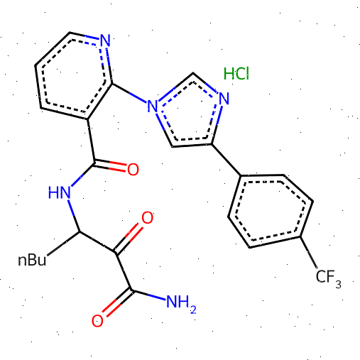 CCCCC(NC(=O)c1cccnc1-n1cnc(-c2ccc(C(F)(F)F)cc2)c1)C(=O)C(N)=O.Cl